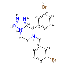 Brc1cccc(CN2CCn3nnnc3C2c2cccc(Br)c2)c1